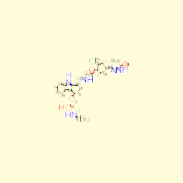 CC(C)(C)NCC(O)COc1ccc(CNCCOc2ccc(C3=NNC(=O)CC3)cc2Cl)c2[nH]c3ccccc3c12